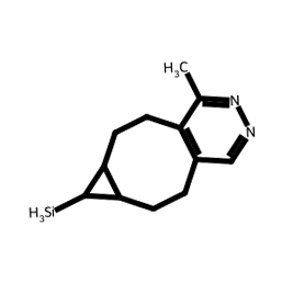 Cc1nncc2c1CCC1C([SiH3])C1CC2